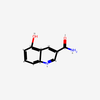 NC(=O)c1cnc2cccc(O)c2c1